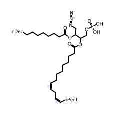 CCCCC/C=C\C/C=C\CCCCCCCC(=O)OC(COP(=O)(O)O)C(CN=[N+]=[N-])OC(=O)CCCCCCCCCCCCCCCCC